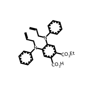 C=CCN(c1ccccc1)c1cc(C(=O)O)c(C(=O)OCC)cc1N(CC=C)c1ccccc1